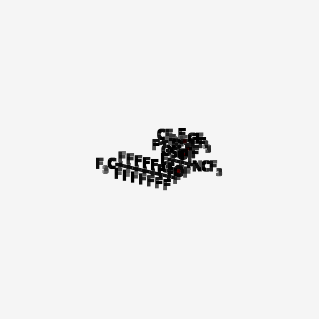 O=S(=O)(C(F)(F)C(F)(F)C(F)(F)C(F)(F)C(F)(F)C(F)(F)C(F)(F)C(F)(F)F)C(F)(C(F)(F)C(F)(F)NC(F)(F)F)[Si](OC(F)(F)C(F)(F)F)(OC(F)(F)C(F)(F)F)OC(F)(F)C(F)(F)F